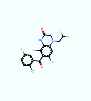 O=C1CN(CC(F)F)c2cc(Br)c(C(=O)c3cc(F)ccc3Cl)c(Br)c2N1